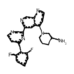 NC1CCCN(c2ccnc3cnc(-c4nccc(-c5c(F)cccc5F)n4)cc23)C1